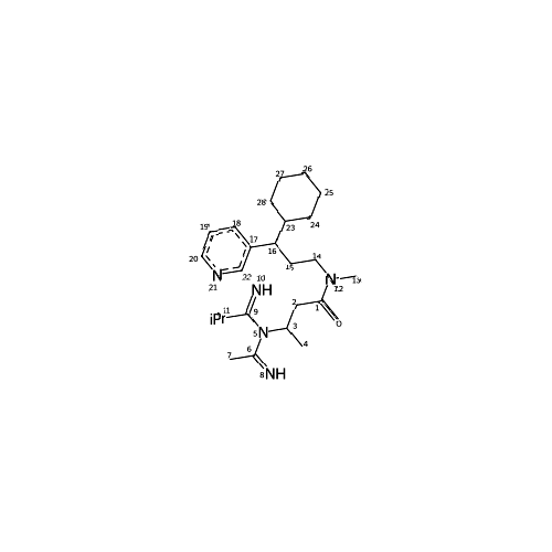 C=C(CC(C)N(C(C)=N)C(=N)C(C)C)N(C)CCC(c1cccnc1)C1CCCCC1